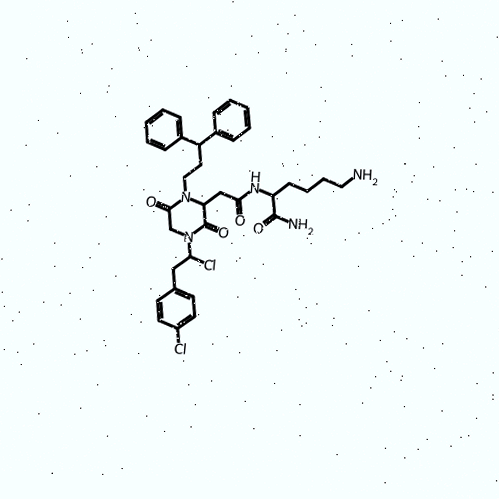 NCCCCC(NC(=O)CC1C(=O)N(C(Cl)Cc2ccc(Cl)cc2)CC(=O)N1CCC(c1ccccc1)c1ccccc1)C(N)=O